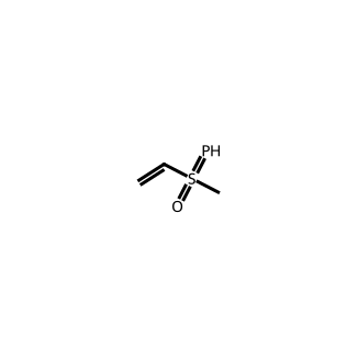 C=CS(C)(=O)=P